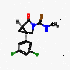 CNC(=S)N1C[C@@]2(c3cc(F)cc(F)c3)C[C@H]2C1=O